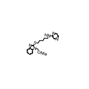 COCn1c(SCCCCCNc2cnccn2)nc2ccccc21